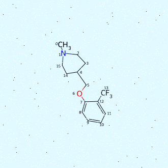 CN1CCC(COc2ccccc2C(F)(F)F)CC1